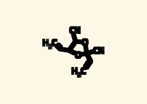 C=CC1OC(C#N)(C=C)OC1C#N